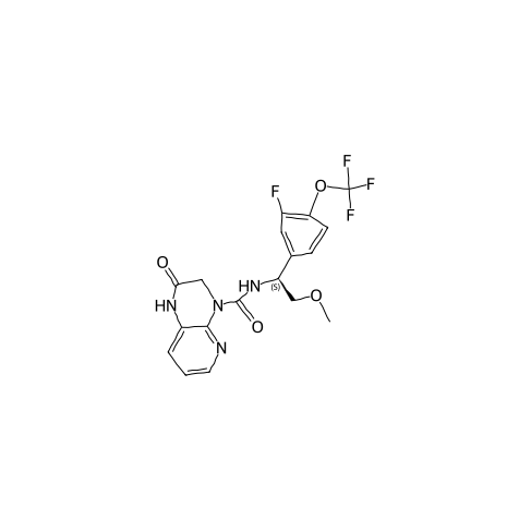 COC[C@@H](NC(=O)N1CC(=O)Nc2cccnc21)c1ccc(OC(F)(F)F)c(F)c1